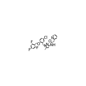 Cc1cc(NC(=O)Cc2ccccn2)nn1Cc1cc(Cl)ccc1OCc1c(F)cc(F)cc1F